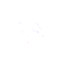 Cn1nnc(C23CCCN(CC2)C3)n1.O=C(O)C(=O)O